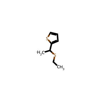 [CH2]C(SCC)c1cccs1